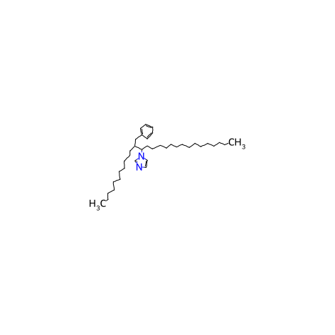 CCCCCCCCCCCCCCCC(C(CCCCCCCCCCC)Cc1ccccc1)n1ccnc1